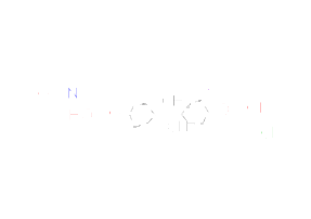 CC(C)(c1ccc(OC[C@H](O)CN2CCOCC2)cc1)c1ccc(OC[C@H](O)CCl)c(I)c1